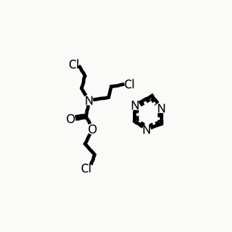 O=C(OCCCl)N(CCCl)CCCl.c1ncncn1